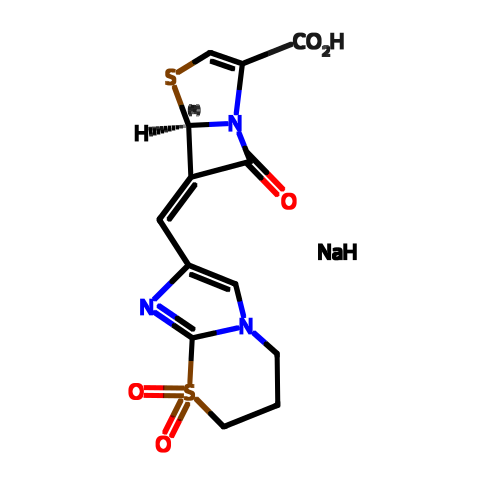 O=C(O)C1=CS[C@@H]2C(=Cc3cn4c(n3)S(=O)(=O)CCC4)C(=O)N12.[NaH]